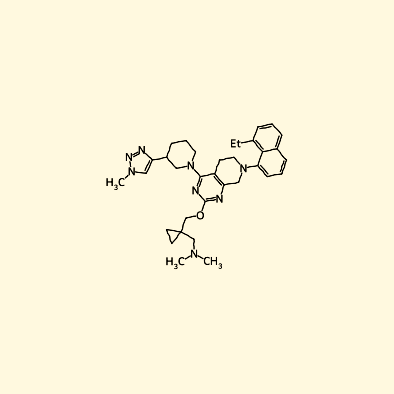 CCc1cccc2cccc(N3CCc4c(nc(OCC5(CN(C)C)CC5)nc4N4CCCC(c5cn(C)nn5)C4)C3)c12